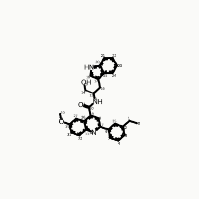 CCc1cccc(-c2cc(C(=O)N[C@@H](CO)Cc3c[nH]c4ccccc34)c3cc(OC)ccc3n2)c1